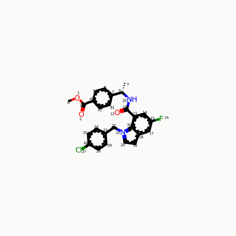 COC(=O)c1ccc([C@H](C)NC(=O)c2cc(F)cc3ccn(Cc4ccc(Cl)cc4)c23)cc1